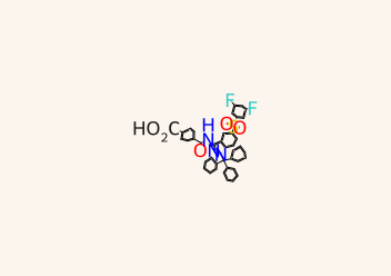 O=C(O)c1ccc(C(=O)Nc2nn(C(c3ccccc3)(c3ccccc3)c3ccccc3)c3ccc(S(=O)(=O)c4cc(F)cc(F)c4)cc23)cc1